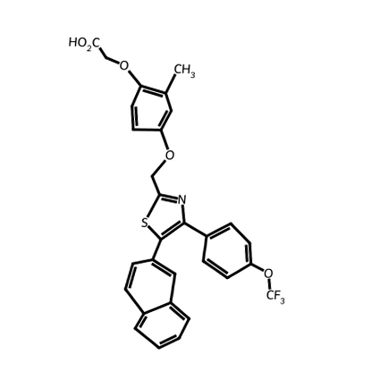 Cc1cc(OCc2nc(-c3ccc(OC(F)(F)F)cc3)c(-c3ccc4ccccc4c3)s2)ccc1OCC(=O)O